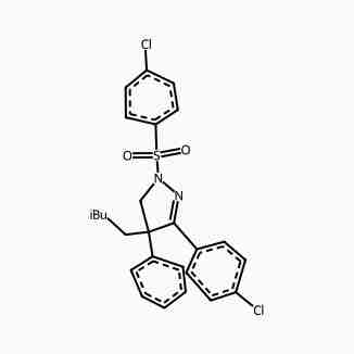 CCC(C)CC1(c2ccccc2)CN(S(=O)(=O)c2ccc(Cl)cc2)N=C1c1ccc(Cl)cc1